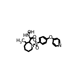 CC1CCCCN(S(=O)(=O)c2ccc(Oc3ccncc3)cc2)C1C(=O)NO